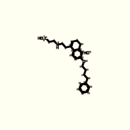 Cl.O=C(O)CCNCCC1=CCCc2cc(OCCCCc3ccccc3)ccc21